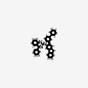 c1ccc(-c2ccc3c(c2)c2cc4c(cc2n3-c2nc(-c3ccccc3)c3ccccc3n2)-c2ccccc2C4)cc1